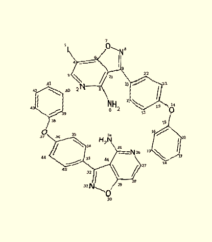 Nc1ncc(I)c2onc(-c3ccc(Oc4ccccc4)cc3)c12.Nc1nccc2onc(-c3ccc(Oc4ccccc4)cc3)c12